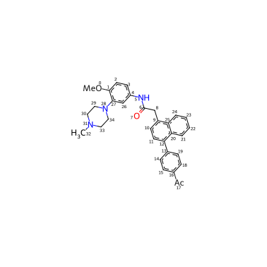 COc1ccc(NC(=O)Cc2ccc(-c3ccc(C(C)=O)cc3)c3ccccc23)cc1N1CCN(C)CC1